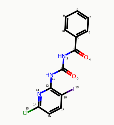 O=C(NC(=O)c1ccccc1)Nc1nc(Cl)ccc1I